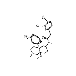 CO[C@]12CC[C@H](N(C)C(=O)Cc3ccc(Cl)c(Cl)c3)C[C@]1(c1cccc(O)c1)CCN(C)C2